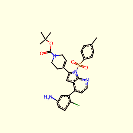 Cc1ccc(S(=O)(=O)n2c(C3=CCN(C(=O)OC(C)(C)C)CC3)cc3c(-c4cc(N)ccc4F)ccnc32)cc1